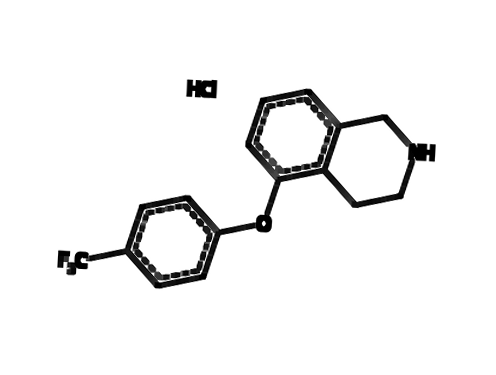 Cl.FC(F)(F)c1ccc(Oc2cccc3c2CCNC3)cc1